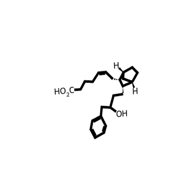 O=C(O)CCC/C=C\C[C@@H]1[C@@H]2CC[C@@H](C2)[C@@H]1CCC(O)Cc1ccccc1